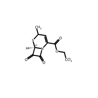 CC1C=C(C(=O)OCC(Cl)(Cl)Cl)N2C(=O)C(=O)[C@H]2S1